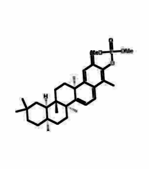 COP(=O)(OC)OC1=C(C)C2=CC=C3[C@@](C)(CC[C@@]4(C)[C@@H]5CC(C)(C)CC[C@]5(C)CC[C@]34C)C2=CC1=O